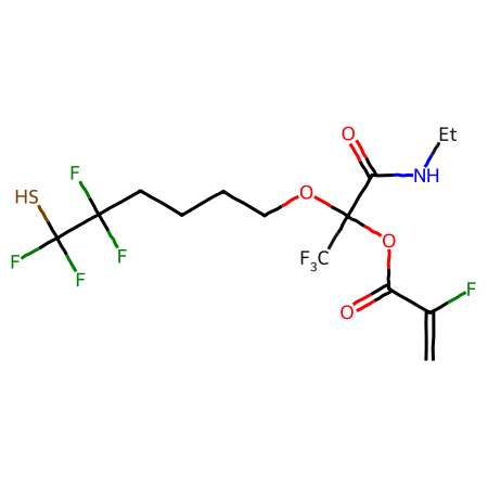 C=C(F)C(=O)OC(OCCCCC(F)(F)C(F)(F)S)(C(=O)NCC)C(F)(F)F